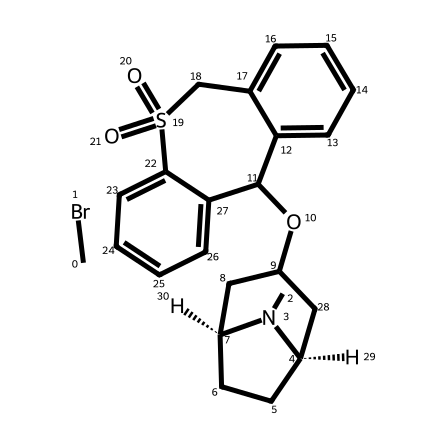 CBr.CN1[C@@H]2CC[C@H]1CC(OC1c3ccccc3CS(=O)(=O)c3ccccc31)C2